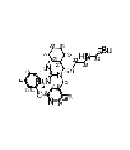 C/N=C(/N)N(Cc1cc(Oc2ccccc2)ncc1C)[C@@H](CCCNCC(C)(C)C)C1CCCCC1